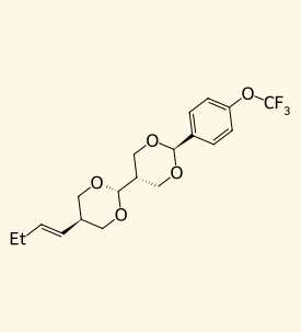 CC/C=C/[C@H]1CO[C@H]([C@H]2CO[C@H](c3ccc(OC(F)(F)F)cc3)OC2)OC1